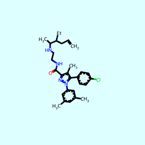 C=CCC(CC)C(C)NCCNC(=O)c1nn(-c2cc(C)cc(C)c2)c(-c2ccc(Cl)cc2)c1C